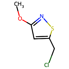 COc1cc(CCl)sn1